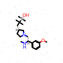 CN[C@H](CN1CC[C@H](CC(C)(C)[Si](C)(C)O)C1)c1cccc(OC)c1